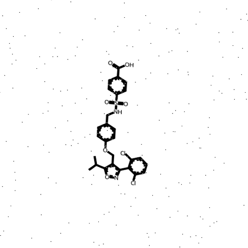 CC(C)c1onc(-c2c(Cl)cccc2Cl)c1COc1ccc(CNS(=O)(=O)c2ccc(C(=O)O)cc2)cc1